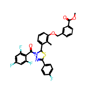 COC(=O)c1cccc(COc2cccc(C3SC(c4ccc(F)cc4)=NN3C(=O)c3c(F)cc(F)cc3F)c2C)c1